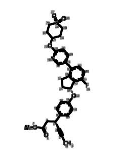 CC#C[C@@H](CC(=O)OC)c1ccc(O[C@@H]2CCc3c(-c4ccc(OC5CCS(=O)(=O)CC5)nc4)ccc(F)c32)cc1